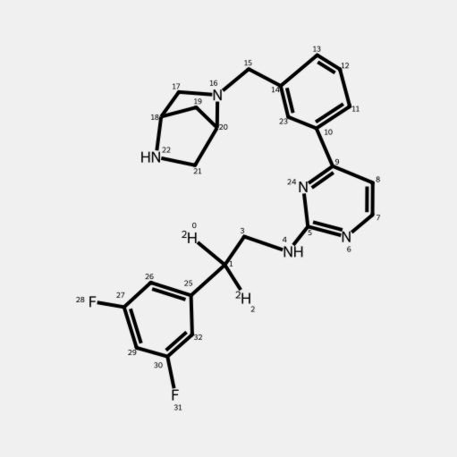 [2H]C([2H])(CNc1nccc(-c2cccc(CN3CC4CC3CN4)c2)n1)c1cc(F)cc(F)c1